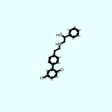 OC(CNCCc1ccc(-c2cc(Cl)ccc2Cl)cc1)c1ccccc1